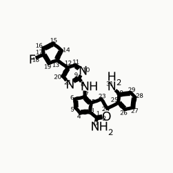 NC(=O)c1cccc(Nc2ncc(-c3cccc(F)c3)cn2)c1CCc1ccccc1N